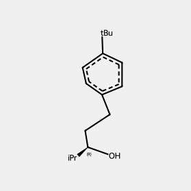 CC(C)[C@H](O)CCc1ccc(C(C)(C)C)cc1